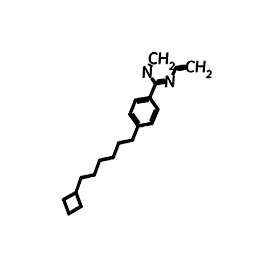 C=C/N=C(\N=C)c1ccc(CCCCCCC2CCC2)cc1